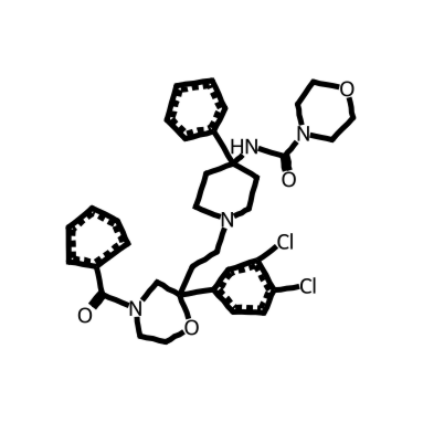 O=C(NC1(c2ccccc2)CCN(CCC2(c3ccc(Cl)c(Cl)c3)CN(C(=O)c3ccccc3)CCO2)CC1)N1CCOCC1